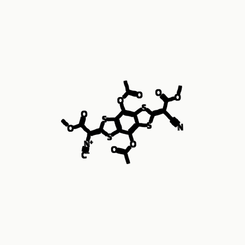 [C-]#[N+]C(C(=O)OC)=C1Sc2c(OC(C)=O)c3c(c(OC(C)=O)c2S1)SC(=C(C#N)C(=O)OC)S3